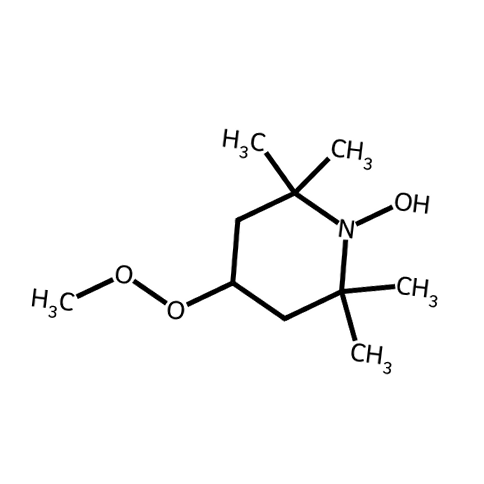 COOC1CC(C)(C)N(O)C(C)(C)C1